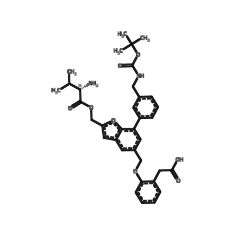 CC(C)[C@H](N)C(=O)OCc1cc2cc(COc3ccccc3CC(=O)O)cc(-c3cccc(CNC(=O)OC(C)(C)C)c3)c2o1